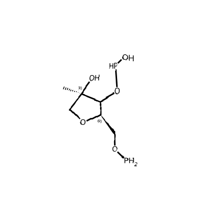 C[C@@]1(O)CO[C@H](COP)C1OPO